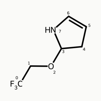 FC(F)(F)COC1CC=CN1